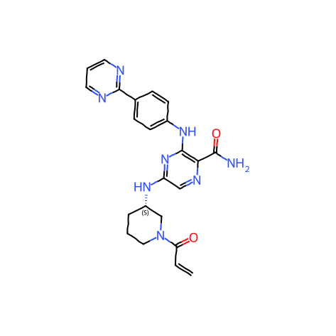 C=CC(=O)N1CCC[C@H](Nc2cnc(C(N)=O)c(Nc3ccc(-c4ncccn4)cc3)n2)C1